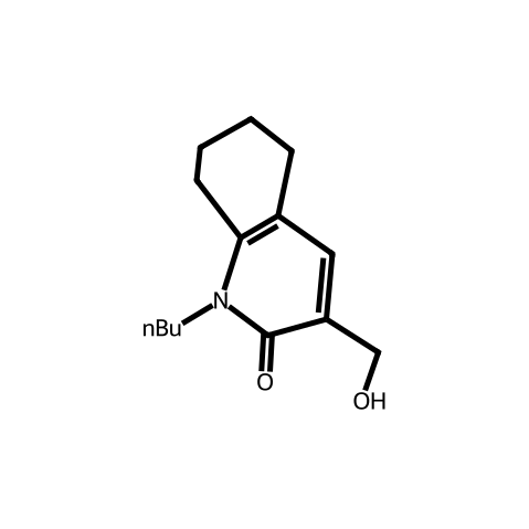 CCCCn1c2c(cc(CO)c1=O)CCCC2